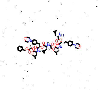 CN[C@@H](CC1CC1)C(=O)O[C@H](CCc1ccc(N2CCOCC2)cc1)C(=O)N(C)[C@@H](CC(C)C)C(=O)O[C@H](C)C(=O)N(C)[C@@H](CC1CC1)C(=O)O[C@H](Cc1ccc(N2CCOCC2)cc1)C(=O)N(C)[C@@H](CC(C)C)C(=O)O[C@H](C)C(=O)OCc1ccccc1